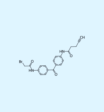 C#CCCC(=O)Nc1ccc(C(=O)c2ccc(NC(=O)CBr)cc2)cc1